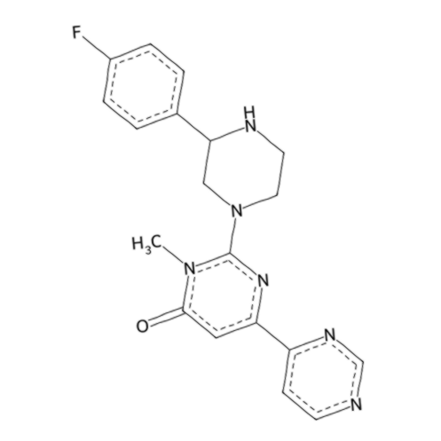 Cn1c(N2CCNC(c3ccc(F)cc3)C2)nc(-c2ccncn2)cc1=O